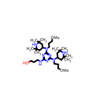 COCCCN(c1nc(NCCCO)nc(N(CCCOC)C2CC(C)(C)NC(C)(C)C2)n1)C1CC(C)(C)NC(C)(C)C1